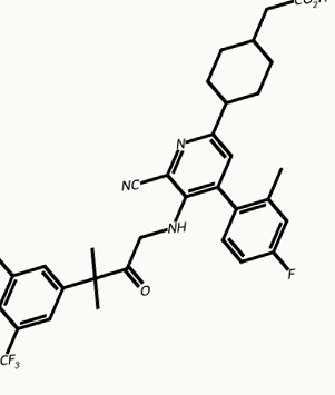 Cc1cc(F)ccc1-c1cc(C2CCC(CC(=O)O)CC2)nc(C#N)c1NCC(=O)C(C)(C)c1cc(C(F)(F)F)cc(C(F)(F)F)c1